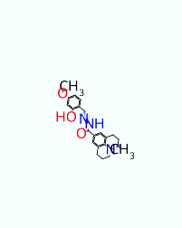 COc1ccc(/C=N/NC(=O)c2cc3c4c(c2)CCC[N+]4(C)CCC3)c(O)c1